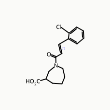 O=C(O)C1CCCCN(C(=O)/C=C/c2ccccc2Cl)C1